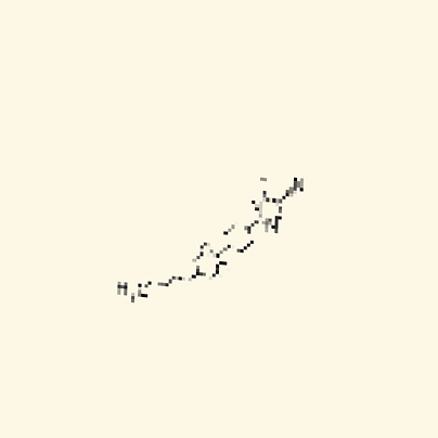 CCCCCC1COC(C2CCC(c3ncc(C#N)c(F)n3)CC2)OC1